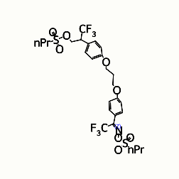 CCCS(=O)(=O)OCC(c1ccc(OCCCOc2ccc(/C(=N/OS(=O)(=O)CCC)C(F)(F)F)cc2)cc1)C(F)(F)F